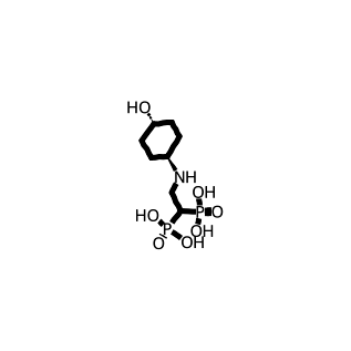 O=P(O)(O)C(CN[C@H]1CC[C@H](O)CC1)P(=O)(O)O